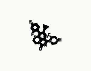 C[C@H]1CNCCN1c1nc(=O)n2c3c(c(-c4ccc(F)cc4F)c(C4CC4)cc13)SCC2